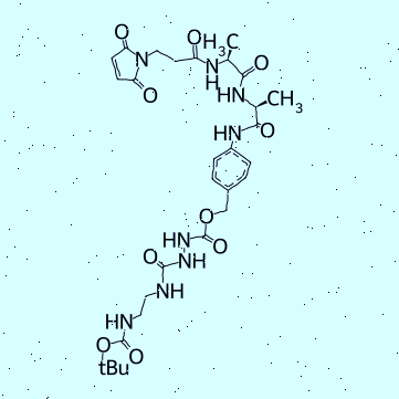 C[C@H](NC(=O)CCN1C(=O)C=CC1=O)C(=O)N[C@@H](C)C(=O)Nc1ccc(COC(=O)NNC(=O)NCCNC(=O)OC(C)(C)C)cc1